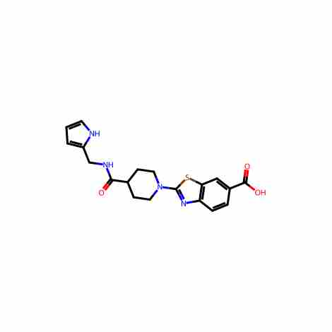 O=C(O)c1ccc2nc(N3CCC(C(=O)NCc4ccc[nH]4)CC3)sc2c1